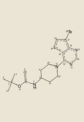 CC(C)(C)OC(=O)NC1CCN(c2ncnc3c(Br)csc23)CC1